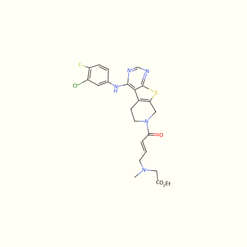 CCOC(=O)CN(C)C/C=C/C(=O)N1CCc2c(sc3ncnc(Nc4ccc(F)c(Cl)c4)c23)C1